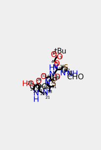 CC(C)(C)OC(=O)CON=C(C(=O)N[C@@H]1C(=O)N2C(C(=O)[O-])=C(C[N+](C)(C)Cc3cc(=O)c(O)c[nH]3)CS[C@@H]12)c1csc(NC=O)n1